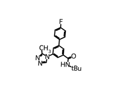 Cc1nncn1-c1cc(C(=O)NC(C)(C)C)cc(-c2ccc(F)cc2)c1